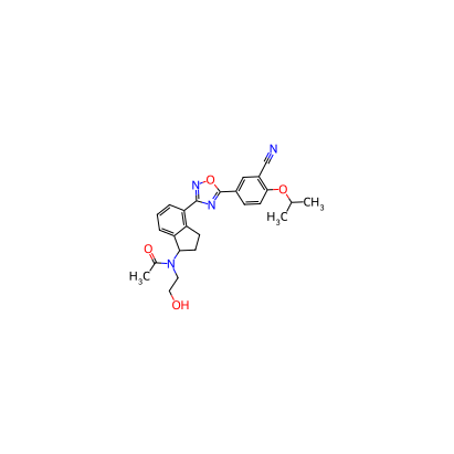 CC(=O)N(CCO)C1CCc2c(-c3noc(-c4ccc(OC(C)C)c(C#N)c4)n3)cccc21